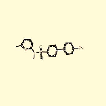 Cc1cccc(N(C)S(=O)(=O)c2ccc(-c3ccc(C#N)cc3)cc2)n1